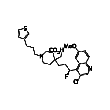 COc1ccc2ncc(Cl)c([C@@H](F)CCC3(CC(=O)O)CCN(CCCc4ccsc4)CC3)c2c1